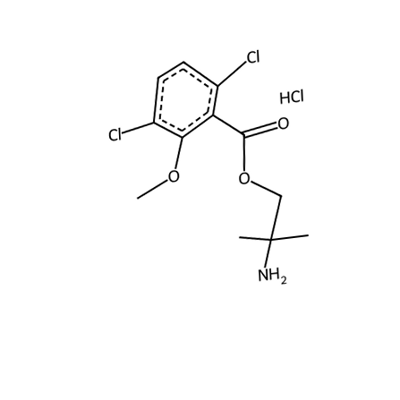 COc1c(Cl)ccc(Cl)c1C(=O)OCC(C)(C)N.Cl